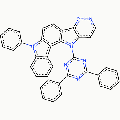 c1ccc(-c2nc(-c3ccccc3)nc(-n3c4ccnnc4c4ccc5c(c6ccccc6n5-c5ccccc5)c43)n2)cc1